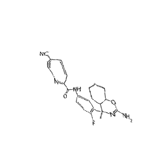 CC1(c2cc(NC(=O)c3ccc(C#N)cn3)ccc2F)N=C(N)OC2CCCCC21